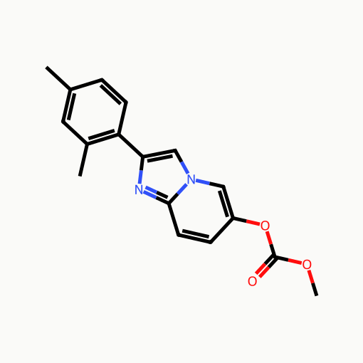 COC(=O)Oc1ccc2nc(-c3ccc(C)cc3C)cn2c1